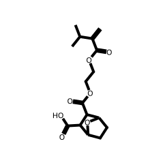 C=C(C(=O)OCCOC(=O)C1C2CCC(O2)C1C(=O)O)C(C)C